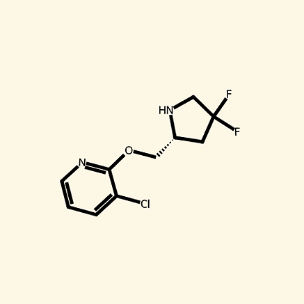 FC1(F)CN[C@@H](COc2ncccc2Cl)C1